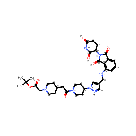 CC(C)(C)OC(=O)CN1CCC(CC(=O)N2CCC(n3cc(CNc4cccc5c4C(=O)N(C4CCC(=O)NC4=O)C5=O)cn3)CC2)CC1